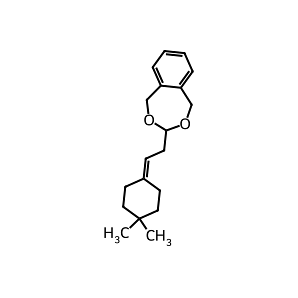 CC1(C)CCC(=CCC2OCc3ccccc3CO2)CC1